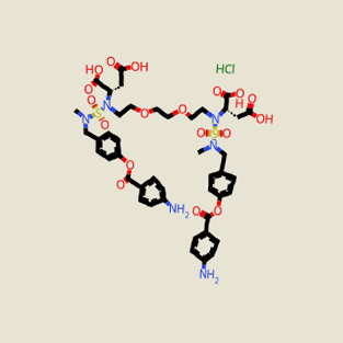 CN(Cc1ccc(OC(=O)c2ccc(N)cc2)cc1)S(=O)(=O)N(CCOCCOCCN([C@@H](CC(=O)O)C(=O)O)S(=O)(=O)N(C)Cc1ccc(OC(=O)c2ccc(N)cc2)cc1)[C@@H](CC(=O)O)C(=O)O.Cl